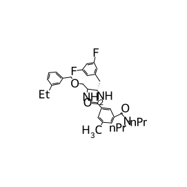 CCCN(CCC)C(=O)c1cc(C)cc(C(=O)N[C@@H](Cc2cc(F)cc(F)c2)C(N)COCc2cccc(CC)c2)c1